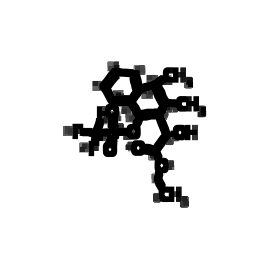 CCOC(=O)[C@@H](O)c1c(C)c(C)c2ccccc2c1OS(=O)(=O)C(F)(F)F